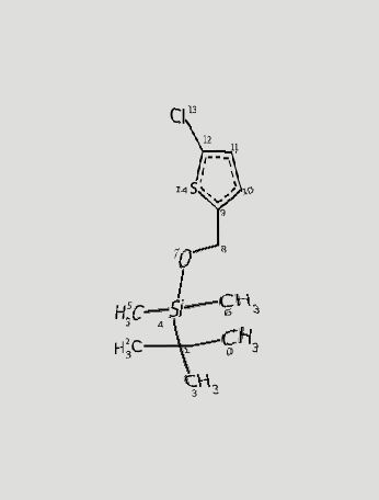 CC(C)(C)[Si](C)(C)OCc1c[c]c(Cl)s1